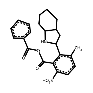 Cc1ccc(S(=O)(=O)O)c(C(=O)OC(=O)c2ccccc2)c1C1CC2CCCCC2N1